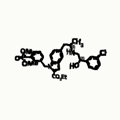 CCOC(=O)c1cc2cc(C[C@@H](C)NC[C@H](O)c3cccc(Cl)c3)ccc2n1Cc1cccc(P(=O)(OC)OC)c1